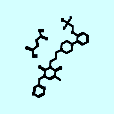 Cc1cn(Cc2cnccn2)c(=O)n(CCCN2CCN(c3ccccc3OCC(F)(F)F)CC2)c1=O.O=C(O)C=CC(=O)O